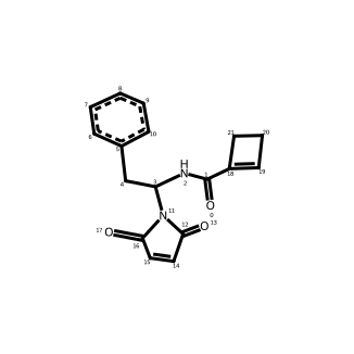 O=C(NC(Cc1ccccc1)N1C(=O)C=CC1=O)C1=CCC1